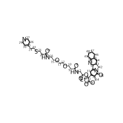 CC[C@@]1(OC(=O)CNC(=O)CCOCCOCCNC(=O)CCSCCc2ccncc2)C(=O)OCc2c1cc1n(c2=O)Cc2cc3ccccc3nc2-1